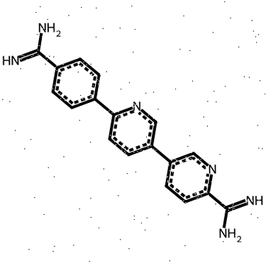 N=C(N)c1ccc(-c2ccc(-c3ccc(C(=N)N)nc3)cn2)cc1